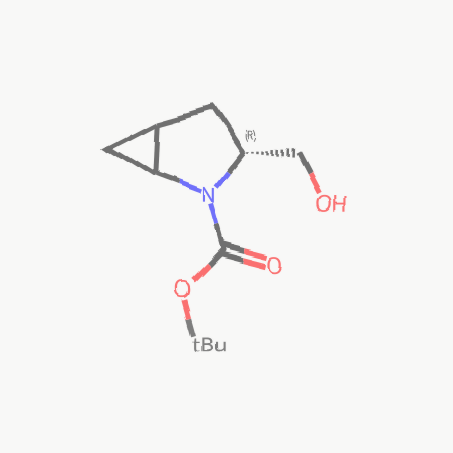 CC(C)(C)OC(=O)N1C2CC2C[C@@H]1CO